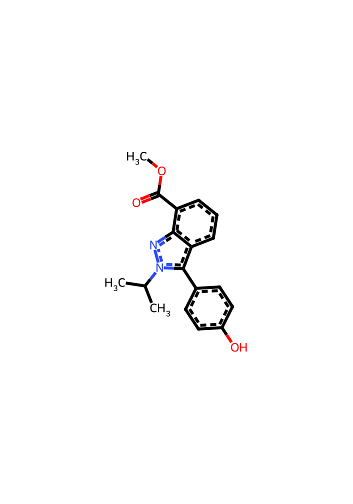 COC(=O)c1cccc2c(-c3ccc(O)cc3)n(C(C)C)nc12